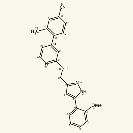 COc1ccccc1-c1cc(CNc2cc(-c3ccc(C#N)cc3C)ccn2)n[nH]1